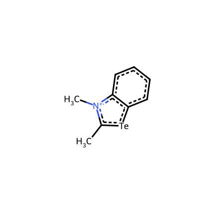 Cc1[te]c2ccccc2[n+]1C